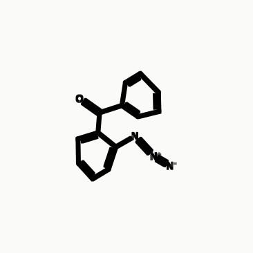 [N-]=[N+]=Nc1ccccc1C(=O)c1ccccc1